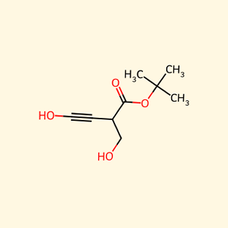 CC(C)(C)OC(=O)C(C#CO)CO